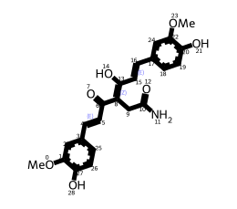 COc1cc(/C=C/C(=O)/C(CC(N)=O)=C(O)/C=C/c2ccc(O)c(OC)c2)ccc1O